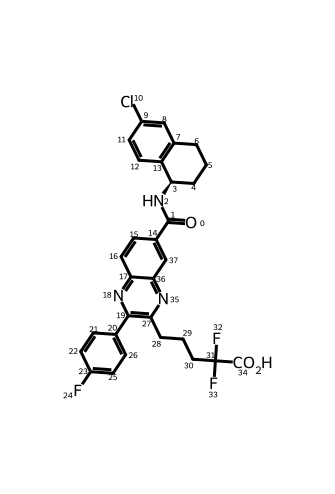 O=C(N[C@@H]1CCCc2cc(Cl)ccc21)c1ccc2nc(-c3ccc(F)cc3)c(CCCC(F)(F)C(=O)O)nc2c1